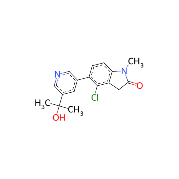 CN1C(=O)Cc2c1ccc(-c1cncc(C(C)(C)O)c1)c2Cl